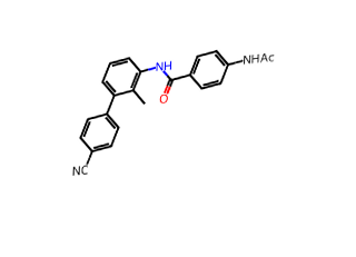 CC(=O)Nc1ccc(C(=O)Nc2cccc(-c3ccc(C#N)cc3)c2C)cc1